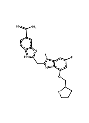 Cn1c(Cc2nc3cc(C(=N)N)ccc3[nH]2)nc2c(OCC3CCCO3)cc(F)cc21